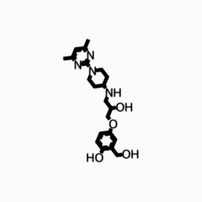 Cc1cc(C)nc(N2CCC(NCC(O)COc3ccc(O)c(CO)c3)CC2)n1